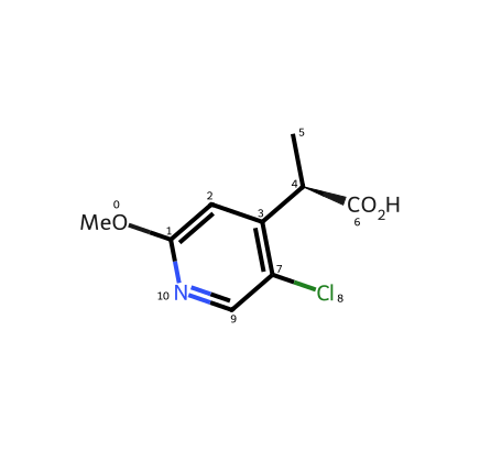 COc1cc([C@@H](C)C(=O)O)c(Cl)cn1